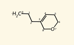 [CH2]CCC1=CCCOC1